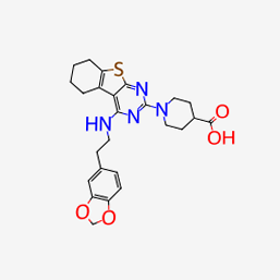 O=C(O)C1CCN(c2nc(NCCc3ccc4c(c3)OCO4)c3c4c(sc3n2)CCCC4)CC1